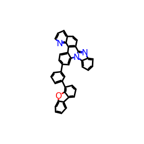 c1cc(-c2ccc3c4c(ccc5cccnc54)c4nc5ccccc5n4c3c2)cc(-c2cccc3c2oc2ccccc23)c1